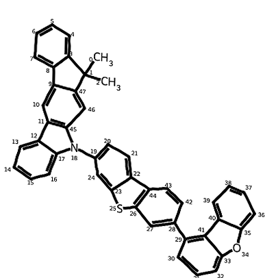 CC1(C)c2ccccc2-c2cc3c4ccccc4n(-c4ccc5c(c4)sc4cc(-c6cccc7oc8ccccc8c67)ccc45)c3cc21